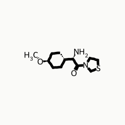 CO[C@H]1CC[C@H]([C@H](N)C(=O)N2CCSC2)CC1